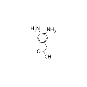 CC(=O)Cc1ccc(N)c(N)c1